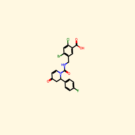 O=C1C=CN(C(=O)NCc2cc(C(=O)O)c(Cl)cc2Br)C(c2ccc(F)cc2)C1